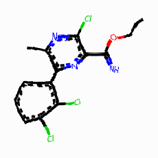 CCOC(=N)c1nc(-c2cccc(Cl)c2Cl)c(C)nc1Cl